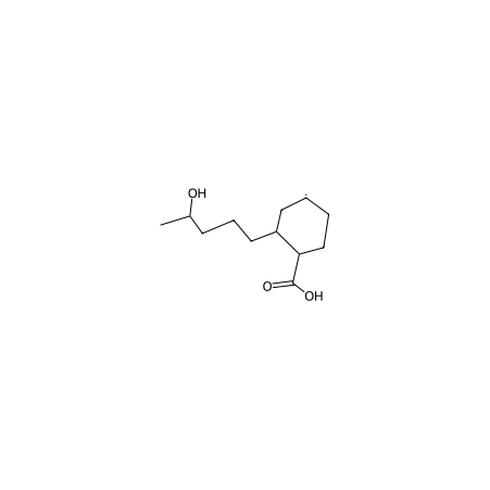 CC(O)CCCC1C[CH]CCC1C(=O)O